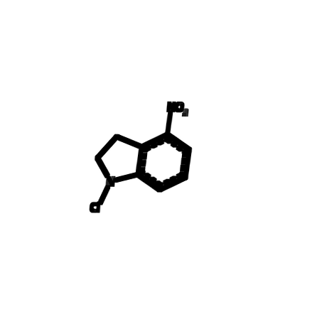 O=[N+]([O-])c1cccc2c1CCN2Cl